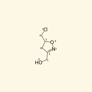 OCC1=NOC(CCl)C1